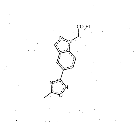 CCOC(=O)Cn1ncc2cc(-c3noc(C)n3)ccc21